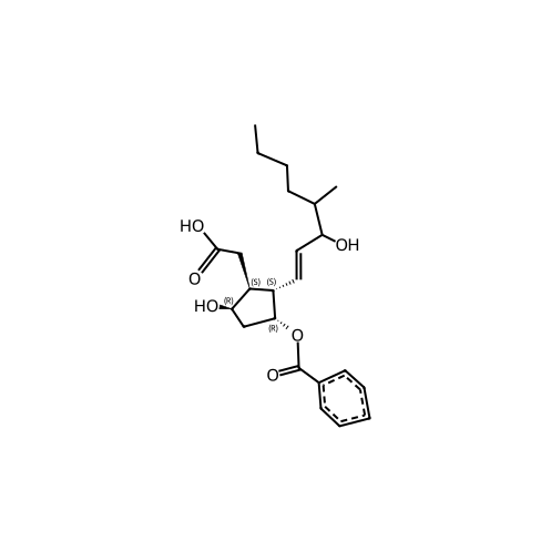 CCCCC(C)C(O)C=C[C@H]1[C@H](CC(=O)O)[C@H](O)C[C@H]1OC(=O)c1ccccc1